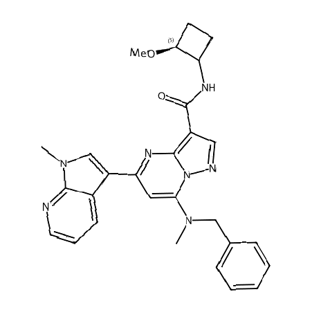 CO[C@H]1CCC1NC(=O)c1cnn2c(N(C)Cc3ccccc3)cc(-c3cn(C)c4ncccc34)nc12